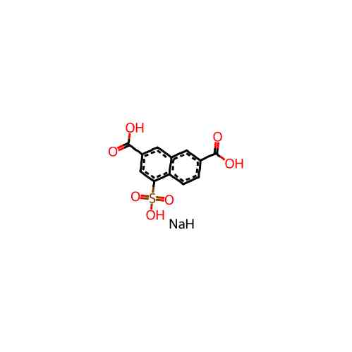 O=C(O)c1ccc2c(S(=O)(=O)O)cc(C(=O)O)cc2c1.[NaH]